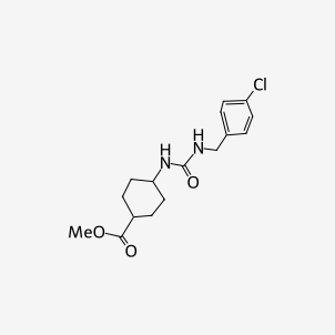 COC(=O)C1CCC(NC(=O)NCc2ccc(Cl)cc2)CC1